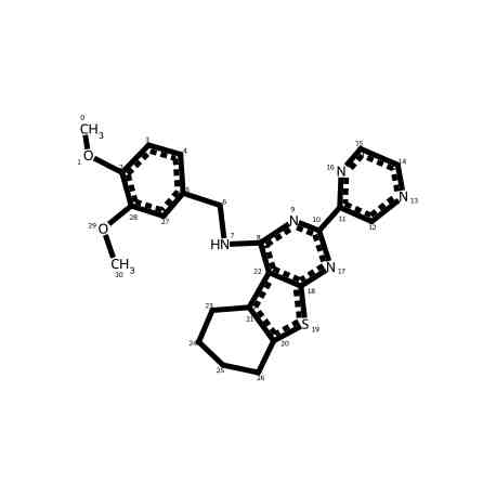 COc1ccc(CNc2nc(-c3cnccn3)nc3sc4c(c23)CCCC4)cc1OC